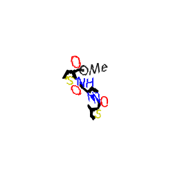 COC(=O)c1ccsc1NC(=O)c1ccn(C(=O)c2sccc2C)n1